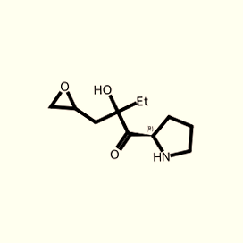 CCC(O)(CC1CO1)C(=O)[C@H]1CCCN1